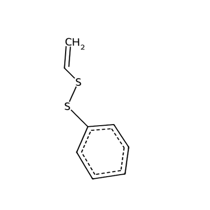 C=CSSc1ccccc1